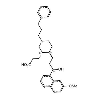 COc1ccc2nccc([C@H](O)CC[C@@H]3CCN(CCCc4ccccc4)C[C@H]3CCC(=O)O)c2c1